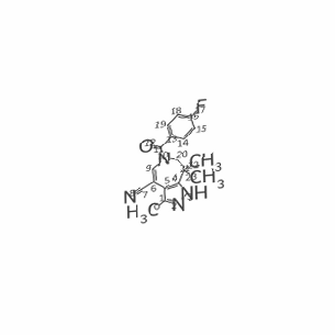 Cc1n[nH]c2c1C(C#N)=CN(C(=O)c1ccc(F)cc1)CC2(C)C